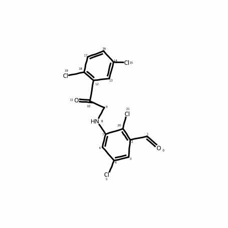 O=[C]c1cc(Cl)cc(NCC(=O)c2cc(Cl)ccc2Cl)c1Cl